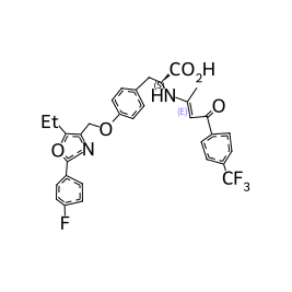 CCc1oc(-c2ccc(F)cc2)nc1COc1ccc(C[C@H](N/C(C)=C/C(=O)c2ccc(C(F)(F)F)cc2)C(=O)O)cc1